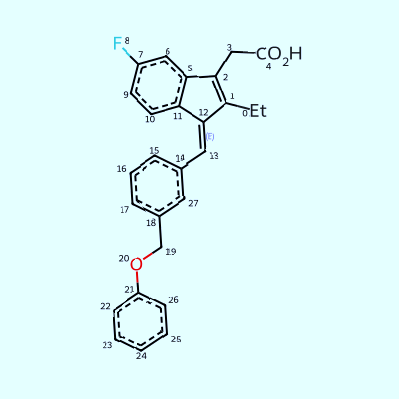 CCC1=C(CC(=O)O)c2cc(F)ccc2/C1=C\c1cccc(COc2ccccc2)c1